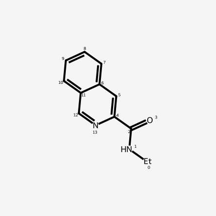 CCNC(=O)c1cc2ccccc2cn1